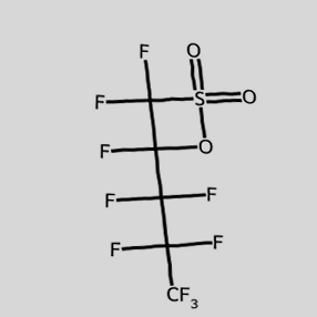 O=S1(=O)OC(F)(C(F)(F)C(F)(F)C(F)(F)F)C1(F)F